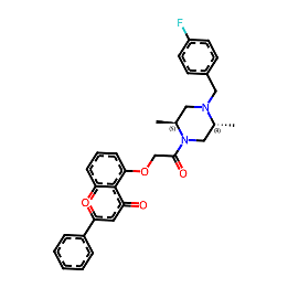 C[C@@H]1CN(C(=O)COc2cccc3oc(-c4ccccc4)cc(=O)c23)[C@@H](C)CN1Cc1ccc(F)cc1